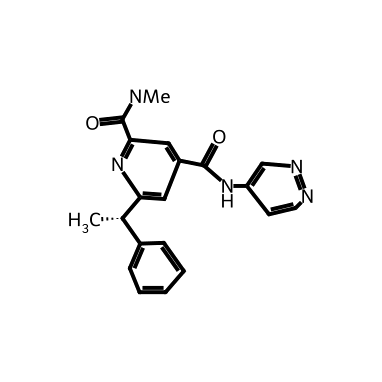 CNC(=O)c1cc(C(=O)Nc2ccnnc2)cc([C@@H](C)c2ccccc2)n1